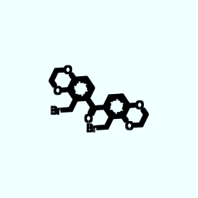 O=C(c1ccc2c(c1CBr)OCCO2)c1ccc2c(c1CBr)OCCO2